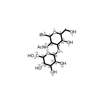 CCC(C)C1OC(CO)[C@@H](O)C(O[C@@H]2OC(C(=O)O)[C@@H](O)C(O)[C@@H]2O)C1NC(C)=O